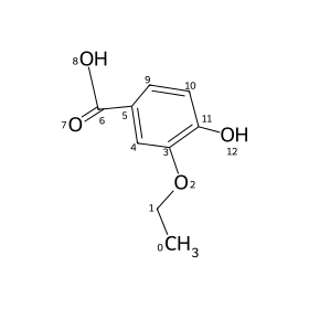 CCOc1cc(C(=O)O)ccc1O